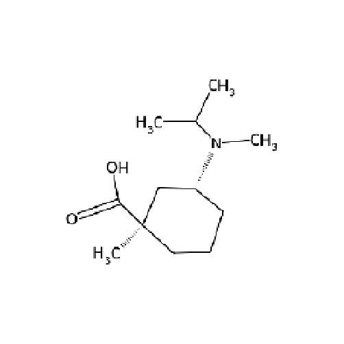 CC(C)N(C)[C@@H]1CCC[C@@](C)(C(=O)O)C1